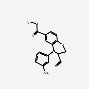 COC(=O)c1ccc2c(c1)N(c1cccc(C)c1)C(C=O)CO2